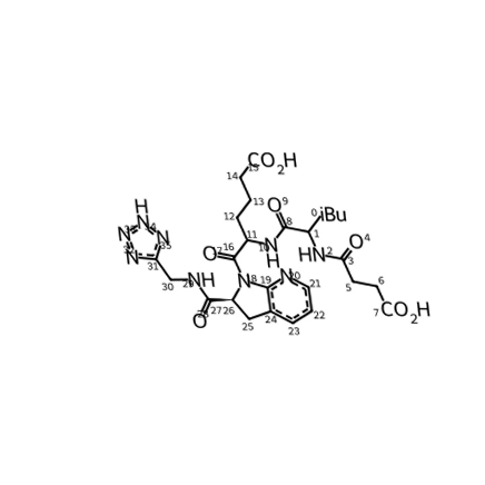 CCC(C)C(NC(=O)CCC(=O)O)C(=O)NC(CCCC(=O)O)C(=O)N1c2ncccc2C[C@H]1C(=O)NCc1nn[nH]n1